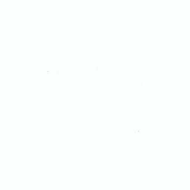 CC(=O)Oc1ccc2c(=O)c3sc4c(=O)c5ccc(OC(C)=O)cc5c(=O)c4c3c(=O)c2c1